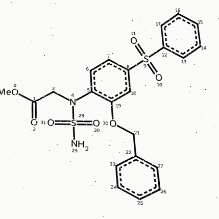 COC(=O)CN(c1ccc(S(=O)(=O)c2ccccc2)cc1OCc1ccccc1)S(N)(=O)=O